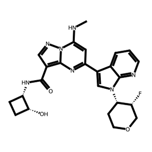 CNc1cc(-c2cn([C@H]3CCOC[C@H]3F)c3ncccc23)nc2c(C(=O)N[C@H]3CC[C@H]3O)cnn12